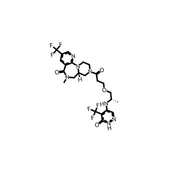 C[C@@H](COCCC(=O)N1CCN2c3ncc(C(F)(F)F)cc3C(=O)N(C)C[C@H]2C1)Nc1cn[nH]c(=O)c1C(F)(F)F